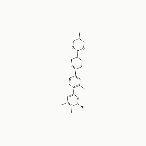 CC1COC(C2CC=C(c3ccc(-c4cc(F)c(F)c(F)c4)c(F)c3)CC2)OC1